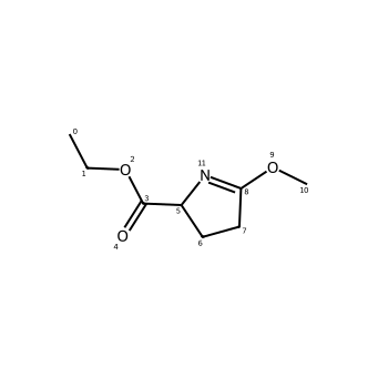 CCOC(=O)C1CCC(OC)=N1